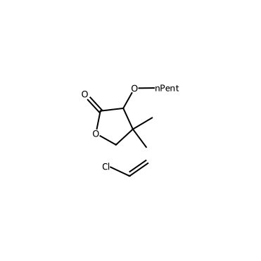 C=CCl.CCCCCOC1C(=O)OCC1(C)C